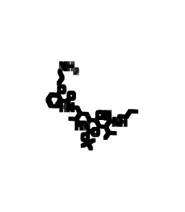 CCCCNC(=O)C(CC(O)C(CC(CNC(=O)c1ccccc1OCCCN)C(C)C)NC(=O)OC(C)(C)C)C(C)C